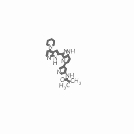 CC(C)C(=O)Nc1cncc(-c2ccc3[nH]nc(-c4cc5c(N6CCCCC6)ccnc5[nH]4)c3n2)c1